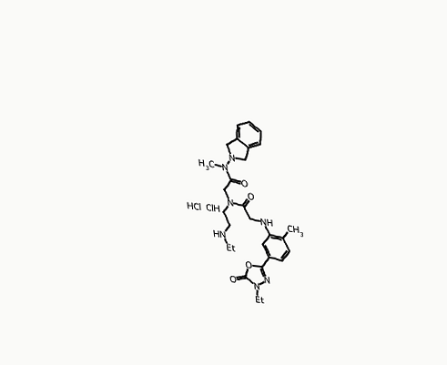 CCNCCN(CC(=O)N(C)N1Cc2ccccc2C1)C(=O)CNc1cc(-c2nn(CC)c(=O)o2)ccc1C.Cl.Cl